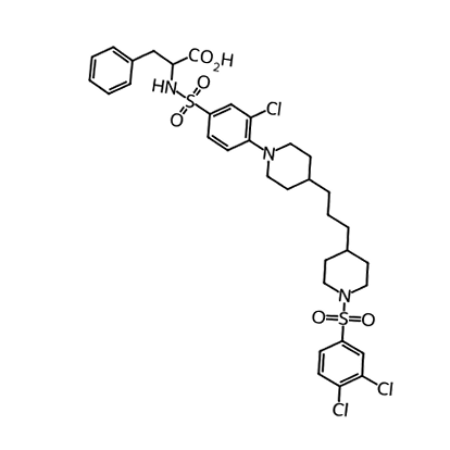 O=C(O)C(Cc1ccccc1)NS(=O)(=O)c1ccc(N2CCC(CCCC3CCN(S(=O)(=O)c4ccc(Cl)c(Cl)c4)CC3)CC2)c(Cl)c1